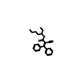 CCCCC(CC)OC(=O)C(C#N)=C(c1ccccc1)c1ccccc1